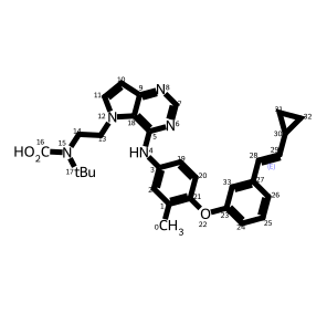 Cc1cc(Nc2ncnc3ccn(CCN(C(=O)O)C(C)(C)C)c23)ccc1Oc1cccc(/C=C/C2CC2)c1